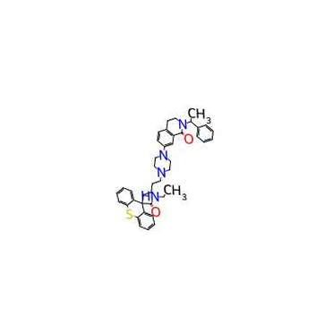 CCNC(=O)C1(CCCCN2CCN(c3ccc4c(c3)C(=O)N(C(C)c3ccccc3)CC4)CC2)c2ccccc2Sc2ccccc21